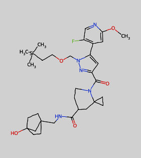 COc1cc(-c2cc(C(=O)N3CCC(C(=O)NCC45CCC(O)(CC4)C5)CC34CC4)nn2COCC[Si](C)(C)C)c(F)cn1